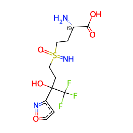 N=S(=O)(CC[C@H](N)C(=O)O)CCC(O)(c1ccon1)C(F)(F)F